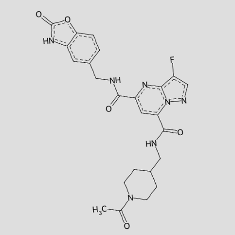 CC(=O)N1CCC(CNC(=O)c2cc(C(=O)NCc3ccc4oc(=O)[nH]c4c3)nc3c(F)cnn23)CC1